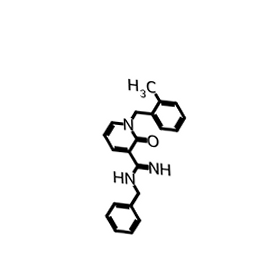 Cc1ccccc1Cn1cccc(C(=N)NCc2ccccc2)c1=O